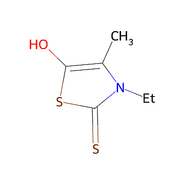 CCn1c(C)c(O)sc1=S